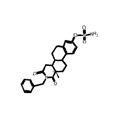 C[C@]12CCC3c4ccc(OS(N)(=O)=O)cc4CCC3C1CC(=O)N(Cc1ccccc1)C2=O